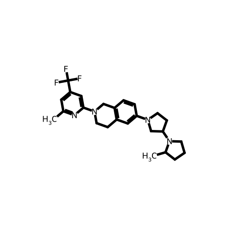 Cc1cc(C(F)(F)F)cc(N2CCc3cc(N4CCC(N5CCCC5C)C4)ccc3C2)n1